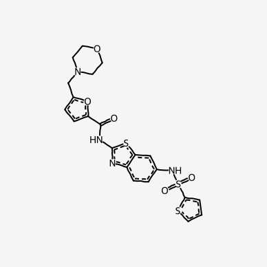 O=C(Nc1nc2ccc(NS(=O)(=O)c3cccs3)cc2s1)c1ccc(CN2CCOCC2)o1